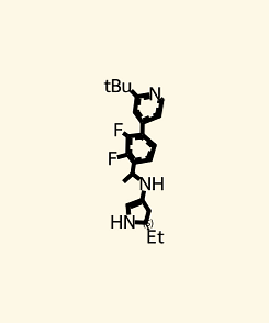 CC[C@H]1CC(NC(C)c2ccc(-c3ccnc(C(C)(C)C)c3)c(F)c2F)=CN1